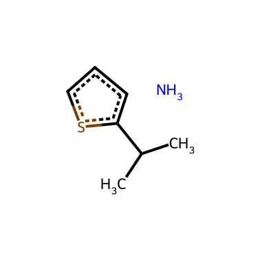 CC(C)c1cccs1.N